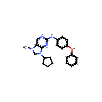 CN1CN(C2CCCC2)c2nc(Nc3ccc(Oc4ccccc4)cc3)ncc21